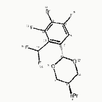 CCC[C@H]1CO[C@H](c2cc(F)c(Br)c(F)c2C(F)F)OC1